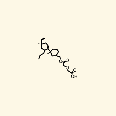 C=C[C@@]1(C)CC=C([C@]2(C)CCC[C@@](C)(COC(=O)COCC(=O)O)C2)C(CCC)C1